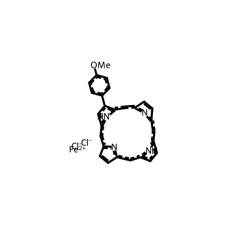 COc1ccc(-c2cc3cc4nc(cc5ccc(cc6nc(cc2[nH]3)C=C6)[nH]5)C=C4)cc1.[Cl-].[Cl-].[Fe+2]